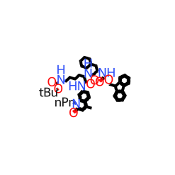 CCCn1c(=O)cc(C)c2ccc(NC(=O)C(CCCCNC(=O)OC(C)(C)C)NC(=O)C(CC3CCCCC3)NC(=O)OCC3c4ccccc4-c4ccccc43)cc21